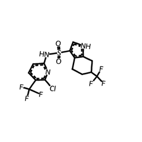 O=S(=O)(Nc1ccc(C(F)(F)F)c(Cl)n1)c1c[nH]c2c1CCC(C(F)(F)F)C2